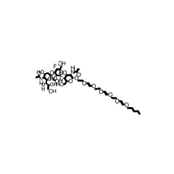 CCCCCOCCOCCOCCOCCOCCOCCO[C@@H]1OC(CO)[C@@H](O[C@@H]2OC(CO)[C@H](F)[C@H](OC3(OCO)CC(O)C(NC(C)=O)C([C@H](O)[C@H](O)CO)O3)C2O)[C@H](O)C1NC(C)=O